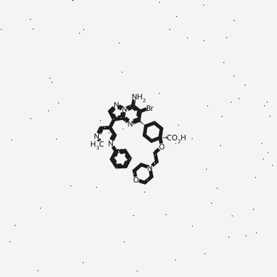 C/N=C\C(/C=N/c1ccccc1)c1cnn2c(N)c(Br)c([C@H]3CC[C@@](OCCN4CCOCC4)(C(=O)O)CC3)nc12